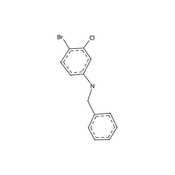 Clc1cc([N]Cc2ccccc2)ccc1Br